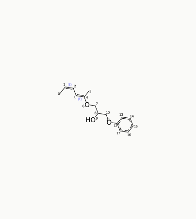 C/C=C\C=C(/C)OCC(O)COc1ccccc1